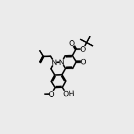 C=C(C)CN1Cc2cc(OC)c(O)cc2-c2cc(=O)c(C(=O)OC(C)(C)C)cn21